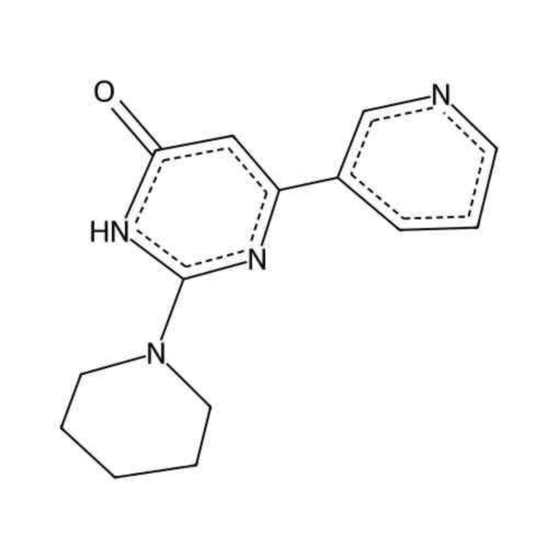 O=c1cc(-c2cccnc2)nc(N2CCCCC2)[nH]1